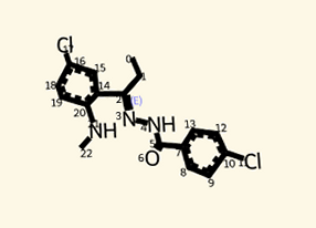 CC/C(=N\NC(=O)c1ccc(Cl)cc1)c1cc(Cl)ccc1NC